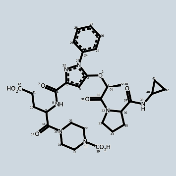 C[C@H](Oc1cc(C(=O)NC(CCC(=O)O)C(=O)N2CCN(C(=O)O)CC2)nn1-c1ccccc1)C(=O)N1CCCC1C(=O)NC1CC1